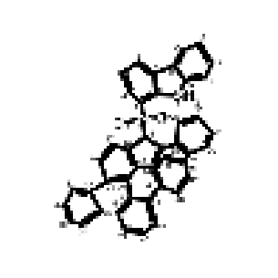 [Cl][Zr]([Cl])([c]1cccc2c1[SiH2]c1ccccc1-2)[CH]1C(c2ccccc2)=Cc2c1ccc(-c1ccccc1)c2-c1ccccc1-c1ccccc1